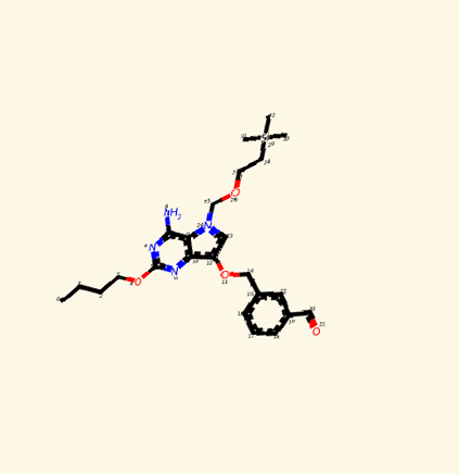 CCCCOc1nc(N)c2c(n1)c(OCc1cccc(C=O)c1)cn2COCC[Si](C)(C)C